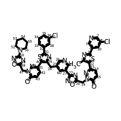 Cc1nc(-c2cncc(Cl)c2)sc1-c1ccc(=O)n(Cc2nc(-c3cncc(Cc4nc(-c5cccc(Cl)c5)sc4-c4ccc(=O)n(Cc5nc(N6CCCCC6)no5)n4)c3)no2)n1